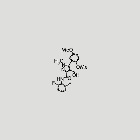 COc1ccc(OC)c(-c2c(CO)c(C(=O)Nc3c(F)cccc3F)nn2C)c1